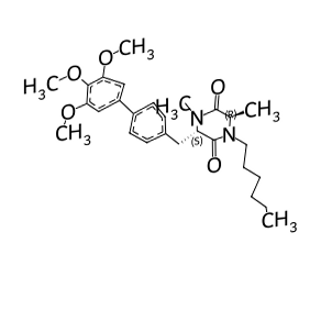 CCCCCCN1C(=O)[C@H](Cc2ccc(-c3cc(OC)c(OC)c(OC)c3)cc2)N(C)C(=O)[C@H]1C